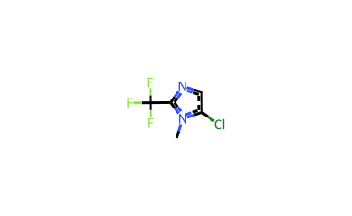 Cn1c(Cl)cnc1C(F)(F)F